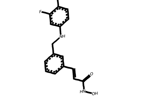 O=C(/C=C/c1cccc(CNc2ccc(F)c(F)c2)c1)NO